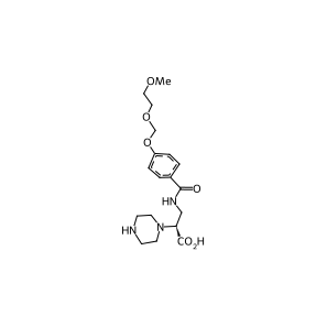 COCCOCOc1ccc(C(=O)NC[C@@H](C(=O)O)N2CCNCC2)cc1